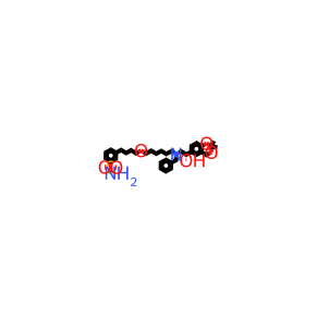 CC1(C)OCc2cc([C@H](O)CN(CCCCCCOCCCCc3cccc(S(N)(=O)=O)c3)Cc3ccccc3)ccc2O1